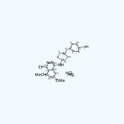 C#Cc1ccc(CN2CCC(Nc3nnc(CC)c4c(OC)cc(OC)cc34)CC2)cc1.Cl.Cl